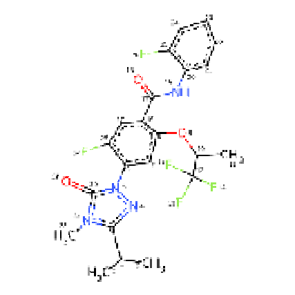 CC(C)c1nn(-c2cc(OC(C)C(F)(F)F)c(C(=O)Nc3ccccc3F)cc2F)c(=O)n1C